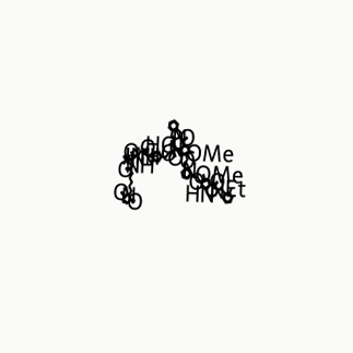 C=C(C)[C@H](NC(=O)CCCCCN1C(=O)C=CC1=O)C(=O)N[C@@H](C)C(=O)Nc1ccc(COC(=O)N2c3cc(OCc4cccc(COc5cc6c(cc5OC)C(=O)N(Cc5ccccc5CC)CCN6)n4)c(OC)cc3C(=O)N3Cc4ccccc4CC3C2O)cc1